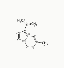 C=C(C)c1ncn2ccc(C)cc12